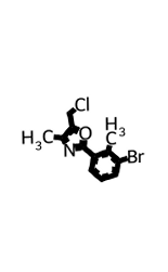 Cc1nc(-c2cccc(Br)c2C)oc1CCl